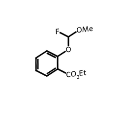 CCOC(=O)c1ccccc1OC(F)OC